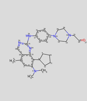 Cc1cc(N(C)C)c(C2CCCC2)c2nc(Nc3ccc(N4CCN(CC=O)CC4)cc3)ncc12